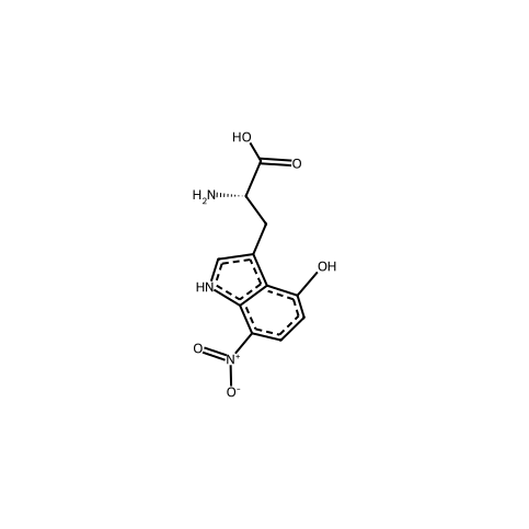 N[C@@H](Cc1c[nH]c2c([N+](=O)[O-])ccc(O)c12)C(=O)O